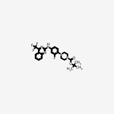 CC(C)(C)OC(=O)N1CCN(c2ccc(Nc3nc(C(F)(F)F)c4ccccc4n3)cc2F)CC1